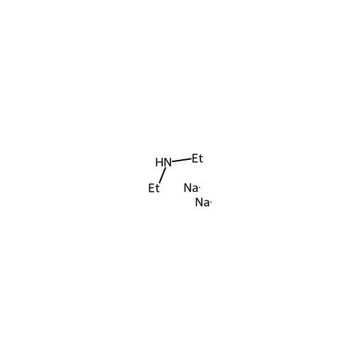 CCNCC.[Na].[Na]